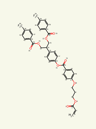 C=CC(=O)OCCCOc1ccc(C(=O)Oc2ccc(C(COC(=O)c3ccc(C(F)(F)F)cc3)COC(=O)c3ccc(C(F)(F)F)cc3)cc2)cc1